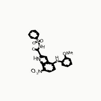 COc1ccccc1Nc1ccc([N+](=O)[O-])c2[nH]c(C(=O)NS(=O)(=O)c3ccccc3)cc12